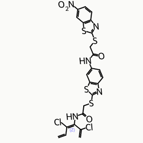 C=C/C(Cl)=C(/NC(=O)CSc1nc2ccc(NC(=O)CSc3nc4ccc([N+](=O)[O-])cc4s3)cc2s1)C(=C)Cl